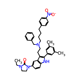 CCN1CCN(c2ccc3[nH]c(-c4cc(C)cc(C)c4)c(CCN(CCCCc4ccc([N+](=O)[O-])cc4)Cc4ccccc4)c3c2)C1=O